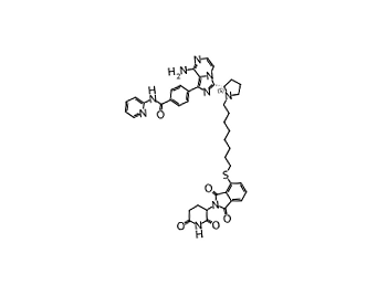 Nc1nccn2c([C@@H]3CCCN3CCCCCCCCSc3cccc4c3C(=O)N(C3CCC(=O)NC3=O)C4=O)nc(-c3ccc(C(=O)Nc4ccccn4)cc3)c12